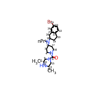 CCCN(C1CCN(C(=O)N2C[C@@H](C)N[C@@H](C)C2)CC1)C1CCc2ccc(Br)cc2C1